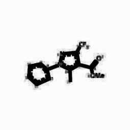 COC(=O)c1c(C(F)(F)F)nn(-c2ccccc2)c1C